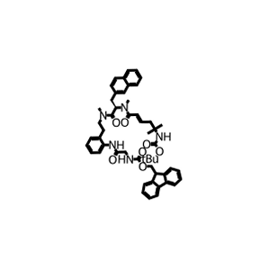 CN(CCc1ccccc1NC(=O)CNC(=O)OCC1c2ccccc2-c2ccccc21)C(=O)[C@@H](Cc1ccc2ccccc2c1)N(C)C(=O)/C=C/CC(C)(C)NC(=O)OC(C)(C)C